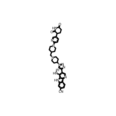 CC(C)Nc1c(-c2cn(C3CCN(CC4CCN(c5ccc(C6CCC(=O)NC6=O)cn5)CC4)CC3)nn2)cnc2c1[nH]c1cc(C#N)ccc12